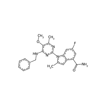 COc1c(C)nc(-n2c(C)cc3c(C(N)=O)cc(F)cc32)nc1NCc1ccccc1